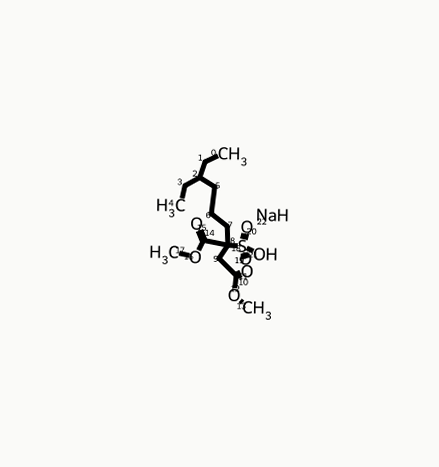 CCC(CC)CCCC(CC(=O)OC)(C(=O)OC)S(=O)(=O)O.[NaH]